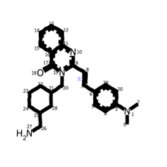 CN(C)c1ccc(/C=C/c2nc3ccccc3c(=O)n2CC2CCCC(CN)C2)cc1